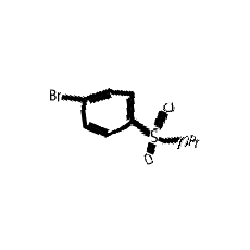 CCCS(=O)(=O)c1ccc(Br)cc1